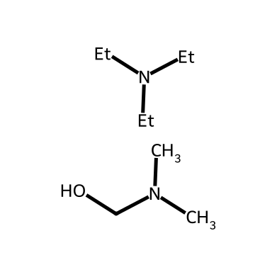 CCN(CC)CC.CN(C)CO